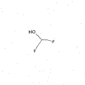 O[C](F)F